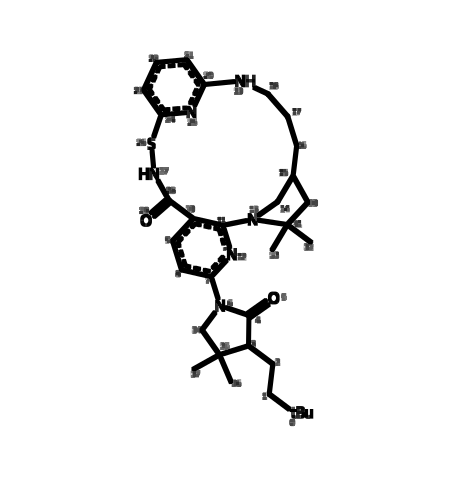 CC(C)(C)CCC1C(=O)N(c2ccc3c(n2)N2CC(CCCNc4cccc(n4)SNC3=O)CC2(C)C)CC1(C)C